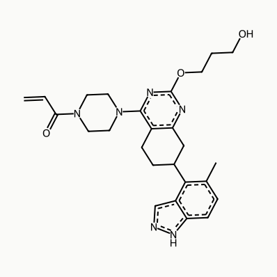 C=CC(=O)N1CCN(c2nc(OCCCO)nc3c2CCC(c2c(C)ccc4[nH]ncc24)C3)CC1